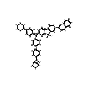 CC1(C)c2cc(-c3ccc4ccccc4c3)ccc2-c2ccc(N(c3ccc(-c4ccc(C5CC6CCC5C6)cc4)cc3)c3ccc(C4CCCCC4)cc3)cc21